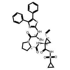 C=C[C@@H]1C[C@]1(NC(=O)[C@@H]1CCCN1C(=O)[C@@H](Nc1nc(-c2ccccc2)c(-c2ccccc2)s1)C(C)(C)C)C(=O)NS(=O)(=O)C1CC1